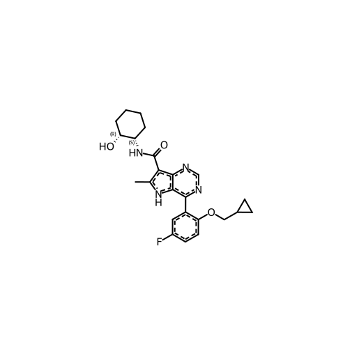 Cc1[nH]c2c(-c3cc(F)ccc3OCC3CC3)ncnc2c1C(=O)N[C@H]1CCCC[C@H]1O